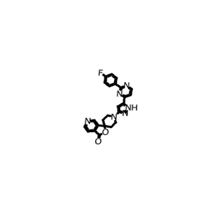 O=C1OC2(CCN(c3cc(-c4ccnc(-c5ccc(F)cc5)n4)[nH]n3)CC2)c2cnccc21